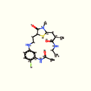 CCN1C(=O)C(CCNc2ccc(F)c(NC(=O)C(C)(C)C)c2)SC1CC(C#N)C(=O)NCC(F)(F)F